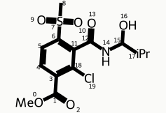 COC(=O)c1ccc(S(C)(=O)=O)c(C(=O)NC(O)C(C)C)c1Cl